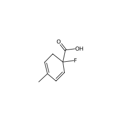 CC1=CCC(F)(C(=O)O)C=C1